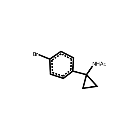 CC(=O)NC1(c2ccc(Br)cc2)CC1